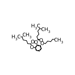 CCCCCOc1cccc(OC(=O)CCCC(C)C)c1OC(=O)CCCC(C)C